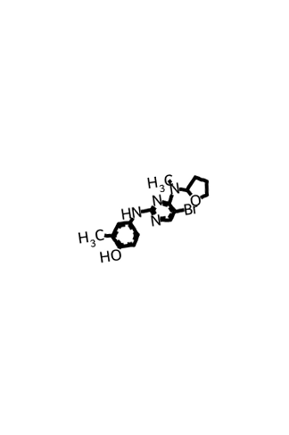 Cc1cc(Nc2ncc(Br)c(N(C)C3CCCO3)n2)ccc1O